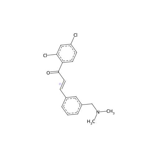 CN(C)Cc1cccc(/C=C/C(=O)c2ccc(Cl)cc2Cl)c1